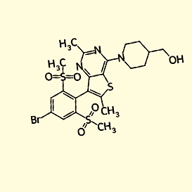 Cc1nc(N2CCC(CO)CC2)c2sc(C)c(-c3c(S(C)(=O)=O)cc(Br)cc3S(C)(=O)=O)c2n1